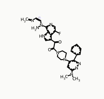 C=N/C=C\N(N)c1ncc(F)c2c(C(=O)C(=O)N3CCN(c4cc(N(C)C)nnc4-c4ccccc4)CC3)c[nH]c12